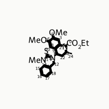 CCOC(=O)N1c2cc(OC)c(OC)cc2[C@H](N(Cc2ccccc2)C(=S)NC)C[C@@H]1C